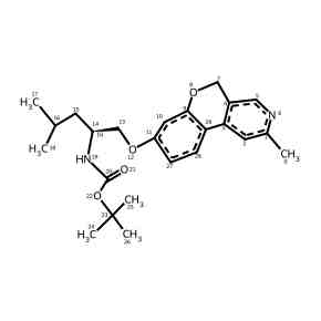 Cc1cc2c(cn1)COc1cc(OC[C@H](CC(C)C)NC(=O)OC(C)(C)C)ccc1-2